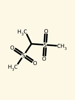 CC(S(C)(=O)=O)S(C)(=O)=O